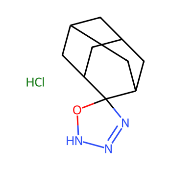 C1C2CC3CC1CC(C2)C31N=NNO1.Cl